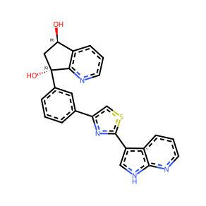 O[C@@H]1C[C@](O)(c2cccc(-c3csc(-c4c[nH]c5ncccc45)n3)c2)c2ncccc21